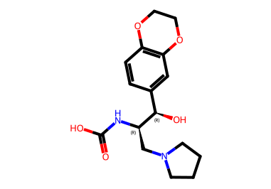 O=C(O)N[C@H](CN1CCCC1)[C@H](O)c1ccc2c(c1)OCCO2